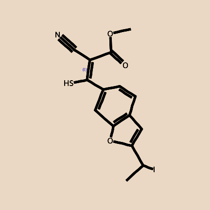 COC(=O)/C(C#N)=C(/S)c1ccc2cc(C(C)I)oc2c1